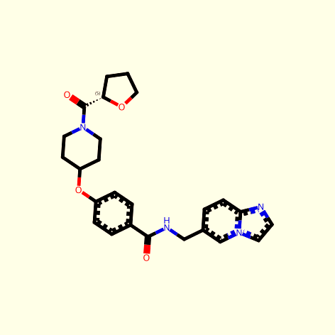 O=C(NCc1ccc2nccn2c1)c1ccc(OC2CCN(C(=O)[C@@H]3CCCO3)CC2)cc1